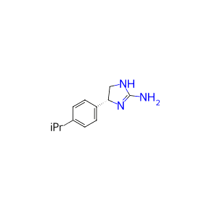 CC(C)c1ccc([C@@H]2CNC(N)=N2)cc1